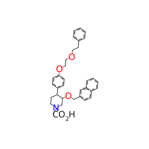 O=C(O)N1CCC(c2ccc(OCCOCCc3ccccc3)cc2)C(OCc2ccc3ccccc3c2)C1